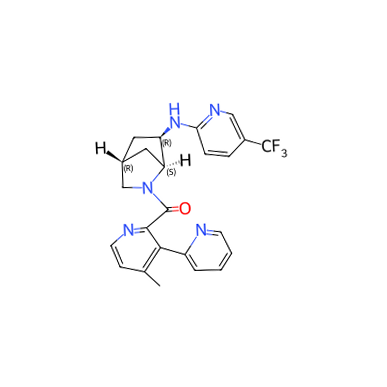 Cc1ccnc(C(=O)N2C[C@@H]3C[C@@H](Nc4ccc(C(F)(F)F)cn4)[C@@H]2C3)c1-c1ccccn1